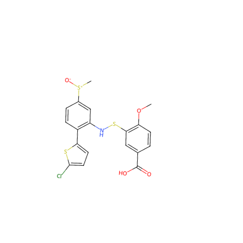 COc1ccc(C(=O)O)cc1SNc1cc([S+](C)[O-])ccc1-c1ccc(Cl)s1